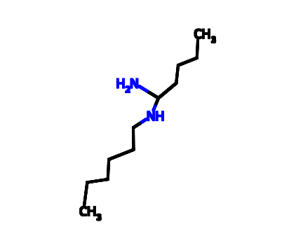 CCCCCCNC(N)CCCC